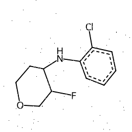 FC1[CH]OCCC1Nc1ccccc1Cl